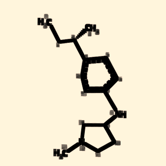 CC[C@H](C)c1ccc(NC2CCN(C)C2)cc1